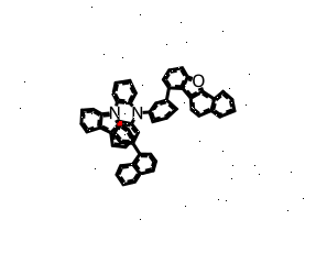 c1cc(-c2cccc3ccccc23)cc(N(c2cccc(-c3cccc4oc5c6ccccc6ccc5c34)c2)c2ccccc2-n2c3ccccc3c3ccccc32)c1